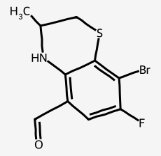 CC1CSc2c(Br)c(F)cc(C=O)c2N1